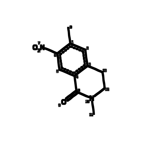 Cc1cc2c(cc1[N+](=O)[O-])C(=O)N(C)CC2